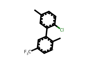 Cc1ccc(Cl)c(-c2cc(C(F)(F)F)c[c]c2C)c1